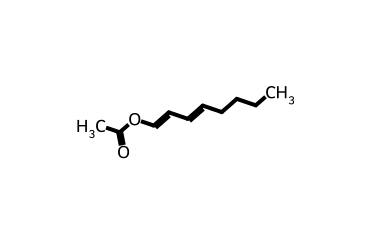 CCCCC=CC=COC(C)=O